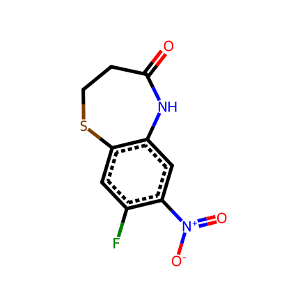 O=C1CCSc2cc(F)c([N+](=O)[O-])cc2N1